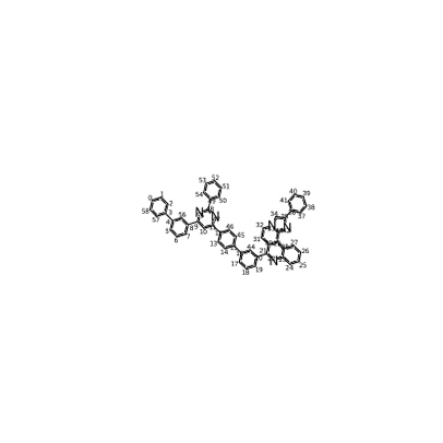 c1ccc(-c2cccc(-c3cc(-c4ccc(-c5cccc(-c6nc7ccccc7c7c6ccn6cc(-c8ccccc8)nc76)c5)cc4)nc(-c4ccccc4)n3)c2)cc1